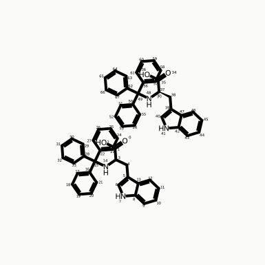 O=C(O)C(Cc1c[nH]c2ccccc12)NC(c1ccccc1)(c1ccccc1)c1ccccc1.O=C(O)[C@@H](Cc1c[nH]c2ccccc12)NC(c1ccccc1)(c1ccccc1)c1ccccc1